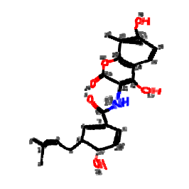 CC(C)=CCC1C=C(C(=O)Nc2c(O)c3ccc(O)c(C)c3oc2=O)C=C[C@@H]1O